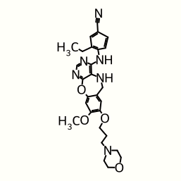 CCc1cc(C#N)ccc1Nc1ncnc2c1NCc1cc(OCCCN3CCOCC3)c(OC)cc1O2